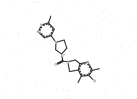 Cc1cc(N2CC[C@@H](C(=O)N3Cc4nc(C)c(Cl)c(C)c4C3)C2)cnn1